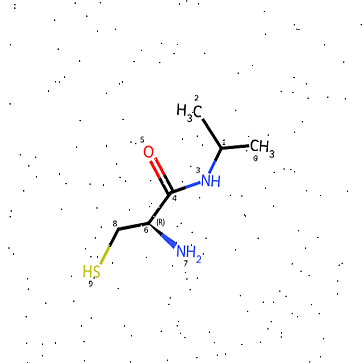 CC(C)NC(=O)[C@@H](N)CS